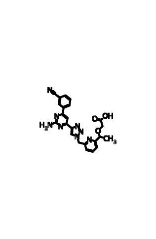 CC(OCC(=O)O)c1cccc(Cn2cc(-c3cc(-c4cccc(C#N)c4)nc(N)n3)nn2)n1